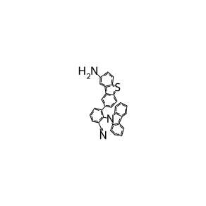 N#Cc1cccc(-c2ccc3sc4ccc(N)cc4c3c2)c1-n1c2ccccc2c2ccccc21